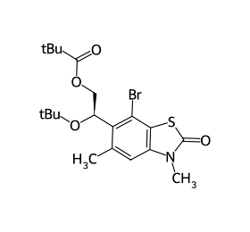 Cc1cc2c(sc(=O)n2C)c(Br)c1[C@H](COC(=O)C(C)(C)C)OC(C)(C)C